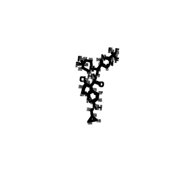 O=C(NCC(c1cnc(C(F)(F)F)nc1)N1CCC(F)(F)CC1)c1c(Cl)ccc2nc(NCC3CC3)ccc12